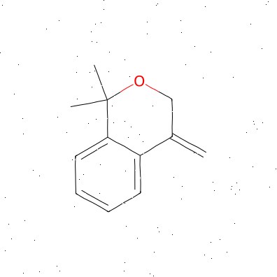 C=C1COC(C)(C)c2ccccc21